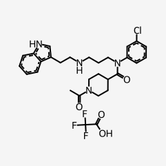 CC(=O)N1CCC(C(=O)N(CCCNCCc2c[nH]c3ccccc23)c2cccc(Cl)c2)CC1.O=C(O)C(F)(F)F